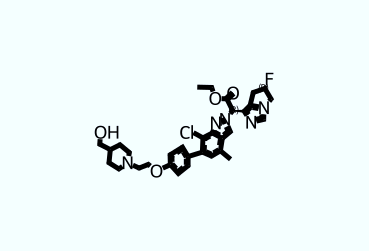 CCOC(=O)[C@@H](c1ncn2c1C[C@@H](F)C2)n1cc2c(C)cc(-c3ccc(OCCN4CCC(CO)CC4)cc3)c(Cl)c2n1